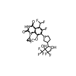 COc1c(N2CCC(C(O)C(O)(C(F)(F)F)C(F)(F)F)C2)c(F)c(C(F)F)c2c(=O)[nH]c(=O)n(C3CC3)c12